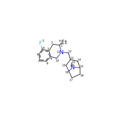 CC[C@@H]1Cc2c(F)cccc2CN1CC1CC2CCC(C1)N2C